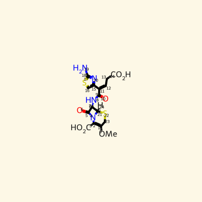 COC1=C(C(=O)O)N2C(=O)[C@@H](NC(=O)C(=CCC(=O)O)c3csc(N)n3)[C@@H]2SC1